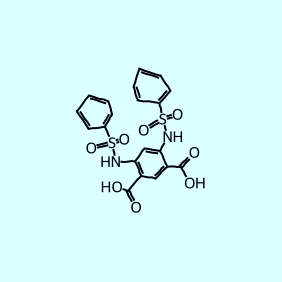 O=C(O)c1cc(C(=O)O)c(NS(=O)(=O)c2ccccc2)cc1NS(=O)(=O)c1ccccc1